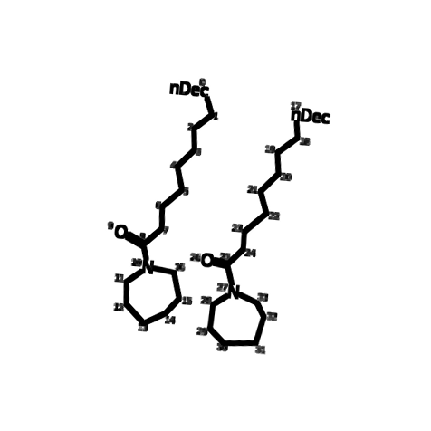 CCCCCCCCCCCCCCCCCC(=O)N1CCCCCC1.CCCCCCCCCCCCCCCCCC(=O)N1CCCCCC1